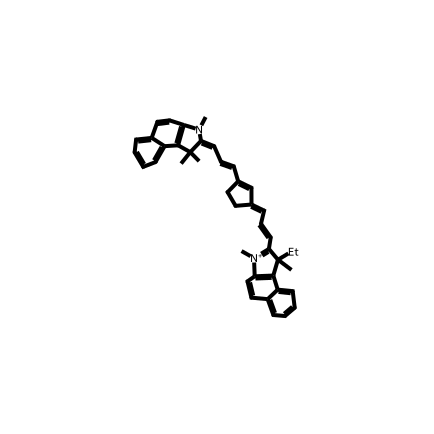 CCC1(C)C(/C=C/C=C2C=C(/C=C/C=C3/N(C)c4ccc5ccccc5c4C3(C)C)CC/2)=[N+](C)c2ccc3ccccc3c21